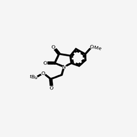 COc1ccc2c(c1)C(=O)C(=O)N2CC(=O)OC(C)(C)C